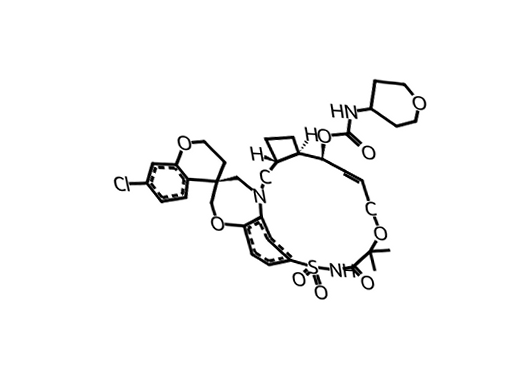 CC1(C)OCC=C[C@H](OC(=O)NC2CCOCC2)[C@@H]2CC[C@H]2CN2C[C@@]3(CCOc4cc(Cl)ccc43)COc3ccc(cc32)S(=O)(=O)NC1=O